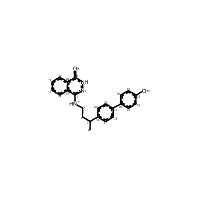 CC(CCNc1n[nH]c(=O)c2ccccc12)c1ccc(-c2ccc(Cl)cc2)cc1